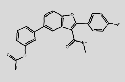 CNC(=O)c1c(-c2ccc(F)cc2)oc2ccc(-c3cccc(OC(C)=O)c3)cc12